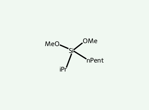 CCCCC[Si](OC)(OC)C(C)C